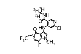 [2H]C([2H])([2H])NC(=O)c1cnc(Cl)cc1Nc1cn(C)c2c(F)cn(CC(F)(F)F)c(=O)c12